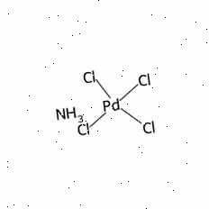 N.[Cl][Pd]([Cl])([Cl])[Cl]